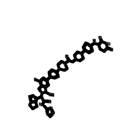 O=C1CCC(Nc2ccc(C3CCC(CC(=O)N4CCN(c5ccc(-c6cc(F)c7c(c6)C(O)N(C(C(=O)Nc6nccs6)c6ncn8c6CCC8)C7)cc5)CC4)CC3)cc2)C(=O)N1